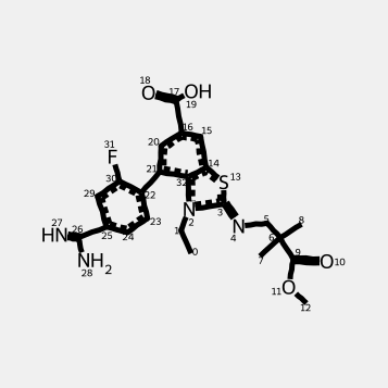 CCn1/c(=N/CC(C)(C)C(=O)OC)sc2cc(C(=O)O)cc(-c3ccc(C(=N)N)cc3F)c21